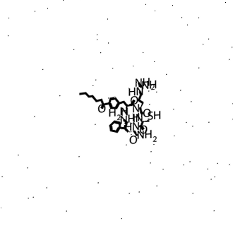 CCCCCCC(=O)c1ccc(C[C@@H](N)C(=O)N[C@@H](CCCNC(=N)N)C(=O)N[C@@H](CS)C(=O)N[C@@H](Cc2c[nH]c3ccccc23)C(N)=O)cc1